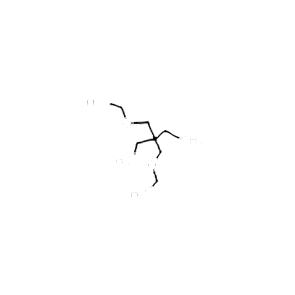 CCOCC(CC)(CC)COCC